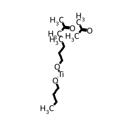 CC(C)=O.CC(C)=O.CCCC[O][Ti][O]CCCC